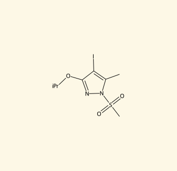 Cc1c(I)c(OC(C)C)nn1S(C)(=O)=O